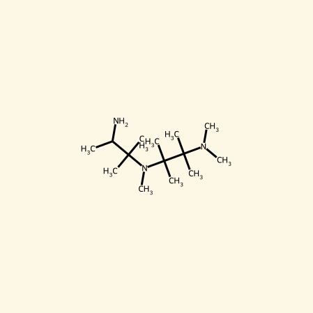 CC(N)C(C)(C)N(C)C(C)(C)C(C)(C)N(C)C